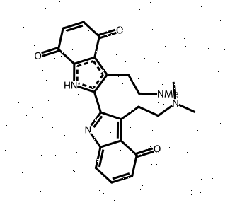 CNCCc1c(C2=NC3=CC=CC(=O)C3=C2CCN(C)C)[nH]c2c1C(=O)C=CC2=O